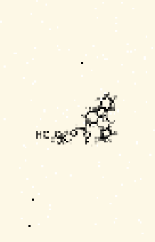 CC(C)(COCC(=O)N1CCc2c(n(Cc3csc(C(F)(F)F)c3)c3ncccc23)C1)C(=O)O